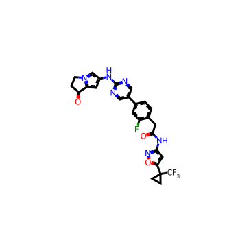 O=C(Cc1ccc(-c2cnc(Nc3cc4n(c3)CCC4=O)nc2)cc1F)Nc1cc(C2(C(F)(F)F)CC2)on1